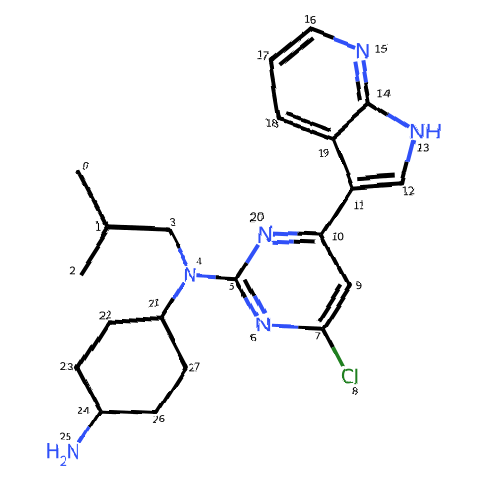 CC(C)CN(c1nc(Cl)cc(-c2c[nH]c3ncccc23)n1)C1CCC(N)CC1